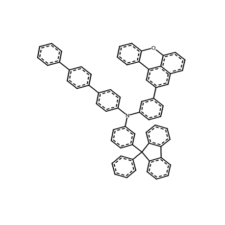 c1ccc(-c2ccc(-c3ccc(N(c4cccc(-c5cc6c7c(cccc7c5)Oc5ccccc5-6)c4)c4cccc(C5(c6ccccc6)c6ccccc6-c6ccccc65)c4)cc3)cc2)cc1